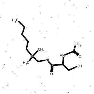 CCCCC[Si](C)(C)CNC(=O)C(CS)NC(C)=O